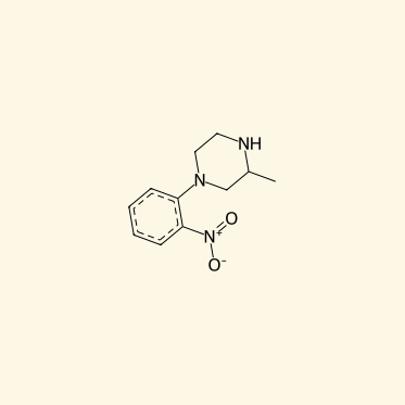 CC1CN(c2ccccc2[N+](=O)[O-])CCN1